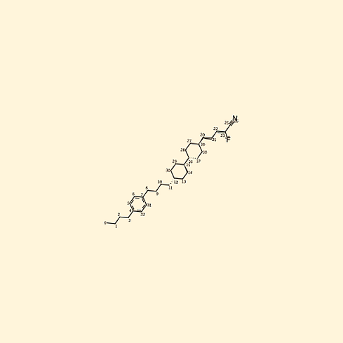 CCCCc1ccc(CCCC[C@H]2CC[C@H]([C@H]3CC[C@H](C=CC=C(F)C#N)CC3)CC2)cc1